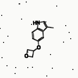 Cc1c[nH]c2ccc(OC3COC3)cc12